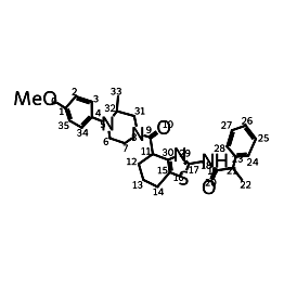 COc1ccc(N2CCN(C(=O)C3CCCc4sc(NC(=O)C(C)c5ccccc5)nc43)CC2C)cc1